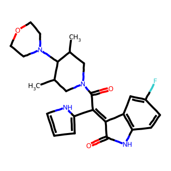 CC1CN(C(=O)C(=C2C(=O)Nc3ccc(F)cc32)c2ccc[nH]2)CC(C)C1N1CCOCC1